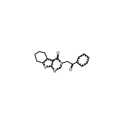 O=C(Cn1cnc2sc3c(c2c1=O)CCCC3)c1ccccc1